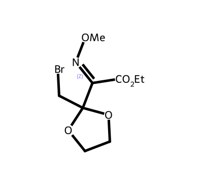 CCOC(=O)/C(=N\OC)C1(CBr)OCCO1